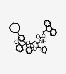 O=C(C[C@H](NC(=O)OCC1c2ccccc2-c2ccccc21)C(=O)N1CCCC1)OC(c1ccccc1)(c1ccc(C2CCCCCCCC2)cc1)c1ccccc1Cl